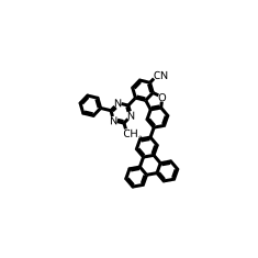 Cc1nc(-c2ccccc2)nc(-c2ccc(C#N)c3oc4ccc(-c5ccc6c7ccccc7c7ccccc7c6c5)cc4c23)n1